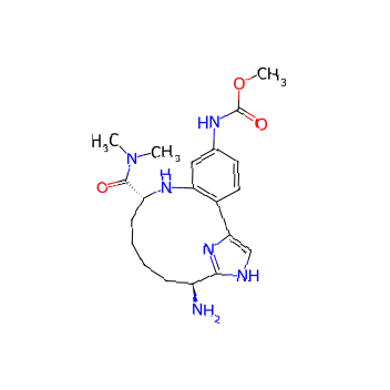 COC(=O)Nc1ccc2c(c1)N[C@@H](C(=O)N(C)C)CCCC[C@H](N)c1nc-2c[nH]1